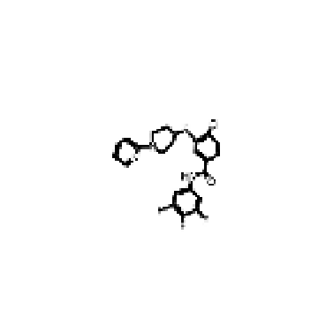 O=C(Nc1cc(F)c(F)c(F)c1)c1ccc(Cl)c(SC2CCN(c3ccccn3)CC2)c1